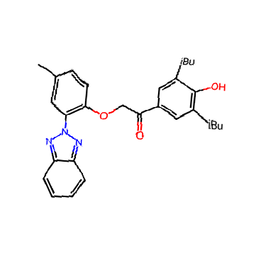 CCC(C)c1cc(C(=O)COc2ccc(C)cc2-n2nc3ccccc3n2)cc(C(C)CC)c1O